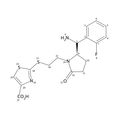 NC(c1ccccc1F)[C@H]1CCC(=O)N1CCSc1nc(C(=O)O)cs1